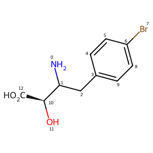 NC(Cc1ccc(Br)cc1)[C@@H](O)C(=O)O